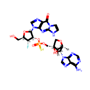 Nc1ncnc2c1ncn2[C@@H]1O[C@@]2(COP(=O)(S)O[C@@H]3[C@H](F)[C@@H](CO)O[C@H]3n3cnc4c(=O)n5cc[nH]c5nc43)CO[C@@H]1[C@@H]2O